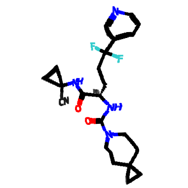 N#CC1(NC(=O)[C@H](CCC(F)(F)c2cccnc2)NC(=O)N2CCC3(CC2)CC3)CC1